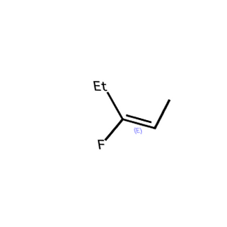 C/C=C(/F)CC